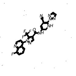 N#CC1=C(n2nccn2)NCC(NC(=O)c2cnn(-c3ccnc4c(F)cccc34)c2C(F)(F)F)=C1